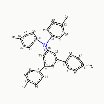 Cc1ccc(-c2cc(-c3ccc(C)cc3)cc(N(c3ccc(C)cc3)c3ccc(C)cc3)c2)cc1